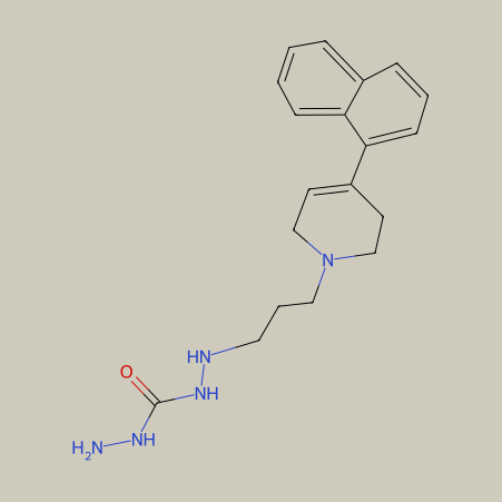 NNC(=O)NNCCCN1CC=C(c2cccc3ccccc23)CC1